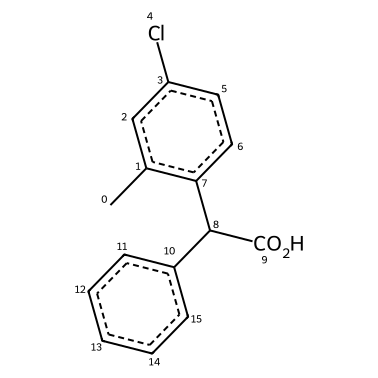 Cc1cc(Cl)ccc1C(C(=O)O)c1ccccc1